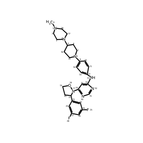 CN1CCN(C2CCN(c3ccc(Nc4cc(N5OCCC5c5cc(F)cc(F)c5)ncn4)cc3)CC2)CC1